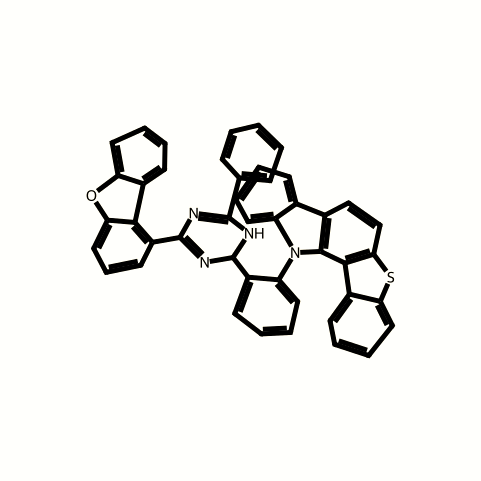 c1ccc(C2=NC(c3cccc4oc5ccccc5c34)=NC(c3ccccc3-n3c4ccccc4c4ccc5sc6ccccc6c5c43)N2)cc1